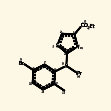 CCOC(=O)c1csc(N(c2cc(Br)ccc2C)C(C)C)n1